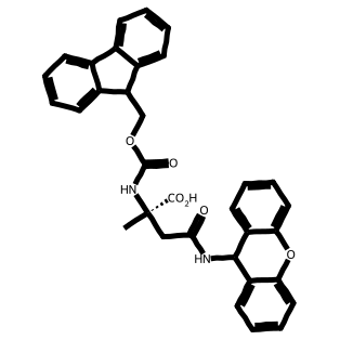 C[C@](CC(=O)NC1c2ccccc2Oc2ccccc21)(NC(=O)OCC1c2ccccc2-c2ccccc21)C(=O)O